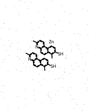 Cc1ccc2c(ccc3c(C)c(S)ccc32)n1.Cc1ccc2c(ccc3c(C)c(S)ccc32)n1.[Zn]